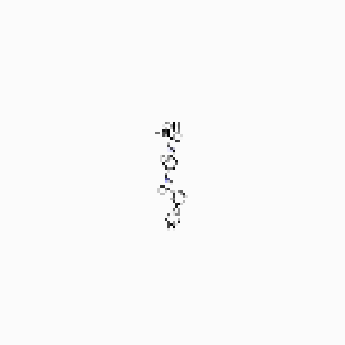 CN1CCN(c2cccc(C(=O)/C=C/c3ccc(/C=C/C(=O)NO)nc3)c2)CC1